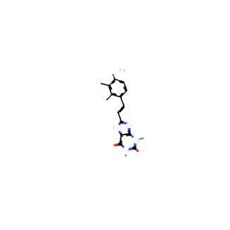 CCn1c(=O)c2[nH]c(C=Cc3ccc(OC)c(C)c3C)nc2n(CC)c1=O